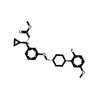 COC(=O)C[C@H](c1cccc(OC[C@H]2CC[C@H](c3cc(OC)ccc3F)CC2)c1)C1CC1